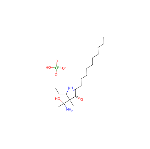 CCCCCCCCCCCC(=O)C(C)(C(N)CC)C(C)(N)O.[O-][Cl+3]([O-])([O-])O